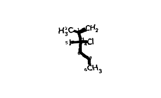 C=C(C)C(Cl)(I)CCC